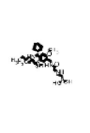 CCCC[C@]1(CC)CS(=O)(=O)c2cc(CNC(=O)CNCCP(O)O)c(OC)cc2[C@@H](c2ccccc2)N1